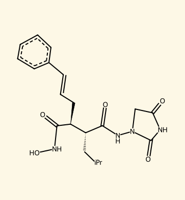 CC(C)C[C@@H](C(=O)NN1CC(=O)NC1=O)[C@H](C/C=C/c1ccccc1)C(=O)NO